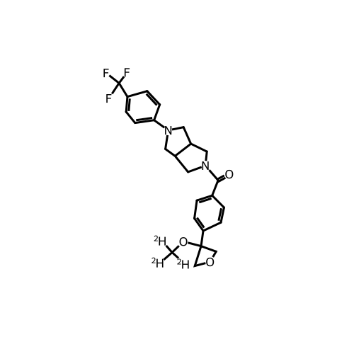 [2H]C([2H])([2H])OC1(c2ccc(C(=O)N3CC4CN(c5ccc(C(F)(F)F)cc5)CC4C3)cc2)COC1